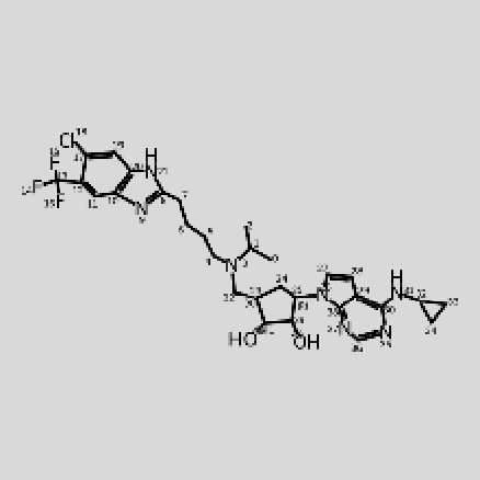 CC(C)N(CCCCc1nc2cc(C(F)(F)F)c(Cl)cc2[nH]1)C[C@H]1C[C@@H](n2ccc3c(NC4CC4)ncnc32)C(O)C1O